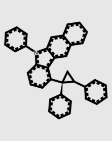 c1ccc(C2C[C@@]2(c2ccccc2)c2cccc3c2c2cc4ccccc4cc2n3-c2ccccc2)cc1